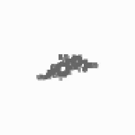 C=C(/C1=P/C=C(/C(C)(C)CCC(C)(C)C)CC=C=C1C)c1ccc(CC(=O)N=O)cc1